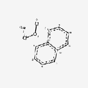 ClOCl.[Se].c1ccc2ncccc2c1